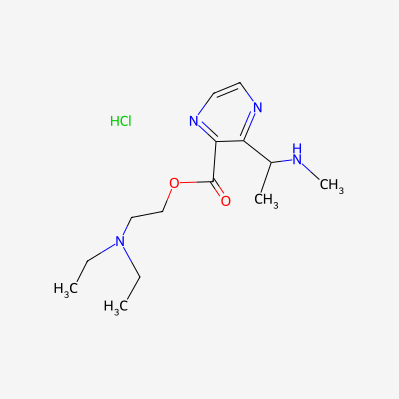 CCN(CC)CCOC(=O)c1nccnc1C(C)NC.Cl